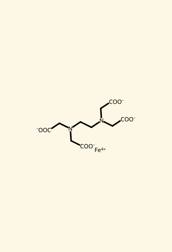 O=C([O-])CN(CCN(CC(=O)[O-])CC(=O)[O-])CC(=O)[O-].[Fe+4]